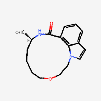 O=C[C@@H]1CCCCOCCn2ccc3cccc(c32)C(=O)N1